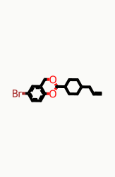 C=CCC1CCC(C2OCc3cc(Br)ccc3O2)CC1